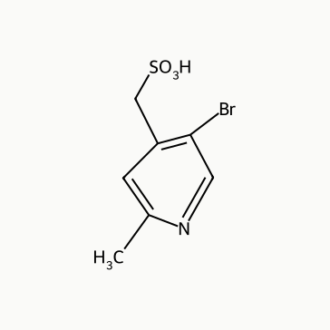 Cc1cc(CS(=O)(=O)O)c(Br)cn1